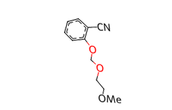 COCCOCOc1ccccc1C#N